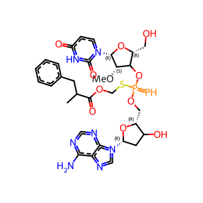 CO[C@H]1C(OP(=P)(OC[C@H]2O[C@@H](n3cnc4c(N)ncnc43)CC2O)SCOC(=O)C(C)Cc2ccccc2)[C@@H](CO)O[C@H]1n1ccc(=O)[nH]c1=O